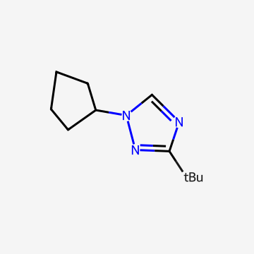 CC(C)(C)c1ncn(C2CCCC2)n1